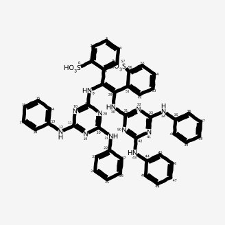 O=S(=O)(O)c1ccccc1C(Nc1nc(Nc2ccccc2)nc(Nc2ccccc2)n1)=C(Nc1nc(Nc2ccccc2)nc(Nc2ccccc2)n1)c1ccccc1S(=O)(=O)O